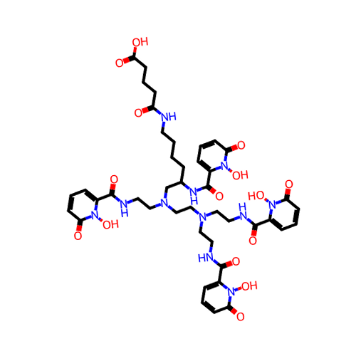 O=C(O)CCCC(=O)NCCCCC(CN(CCNC(=O)c1cccc(=O)n1O)CCN(CCNC(=O)c1cccc(=O)n1O)CCNC(=O)c1cccc(=O)n1O)NC(=O)c1cccc(=O)n1O